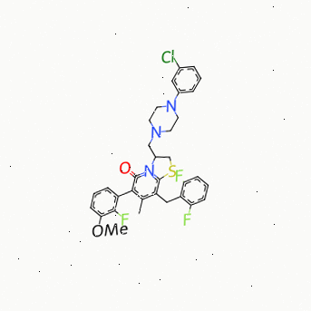 COc1cccc(-c2c(C)c(Cc3c(F)cccc3F)c3n(c2=O)C(CN2CCN(c4cccc(Cl)c4)CC2)CS3)c1F